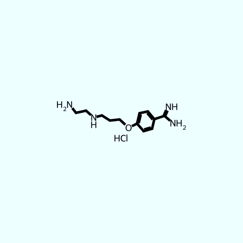 Cl.N=C(N)c1ccc(OCCCNCCN)cc1